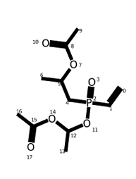 C=CP(=O)(CC(C)OC(C)=O)OC(C)OC(C)=O